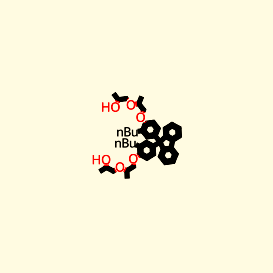 CCCCc1cc(C2(c3ccc(OCC(C)OCC(C)O)c(CCCC)c3)c3ccccc3-c3ccccc32)ccc1OCC(C)OCC(C)O